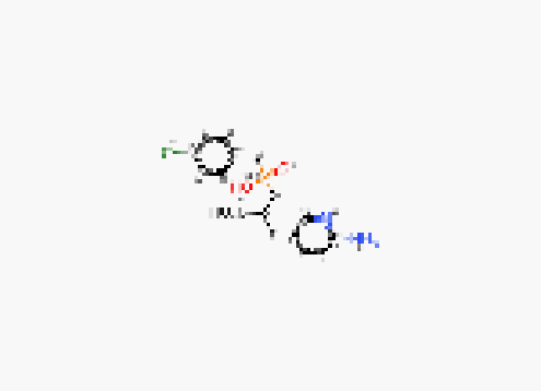 Nc1ccc(CC(CP(=O)(O)Cc2ccc(Cl)cc2)C(=O)O)cn1